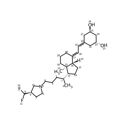 CC(CCCN1CC[C@@H](C(F)F)C1)[C@H]1CC[C@H]2/C(=C/C=C3C[C@@H](O)C[C@H](O)C3)CCC[C@]12C